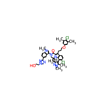 Cc1cc(OCCCc2c3n(c4c(-c5c(C)nn(C)c5C)c(Cl)ccc24)[C@H](C)CN(c2cn(C)c4ccc(-c5ncn(CCO)n5)cc24)C3=O)cc(C)c1Cl